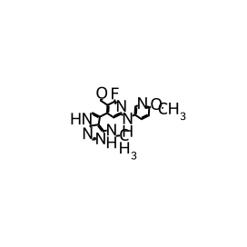 CCNc1ncnc2[nH]cc(-c3cc(Nc4ccc(OC)nc4)nc(F)c3C=O)c12